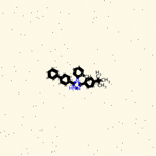 CC1C=CC=CC1N1C(c2ccc(C(C)(C)C)cc2)=NNC1c1ccc(-c2ccccc2)cc1